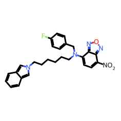 O=[N+]([O-])c1ccc(N(CCCCCCn2cc3ccccc3c2)Cc2ccc(F)cc2)c2nonc12